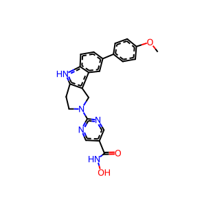 COc1ccc(-c2ccc3[nH]c4c(c3c2)CN(c2ncc(C(=O)NO)cn2)CC4)cc1